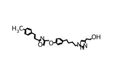 Cc1ccc(/C=C/c2nc(COc3ccc(CCCCn4cc(CCO)nn4)cc3)co2)cc1